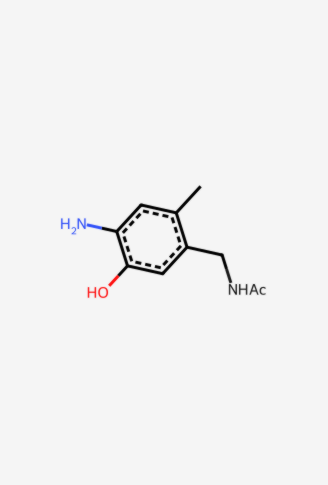 CC(=O)NCc1cc(O)c(N)cc1C